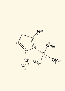 CO[Si](OC)(OC)C1=[C]([Hf+2])CC=C1.[Cl-].[Cl-]